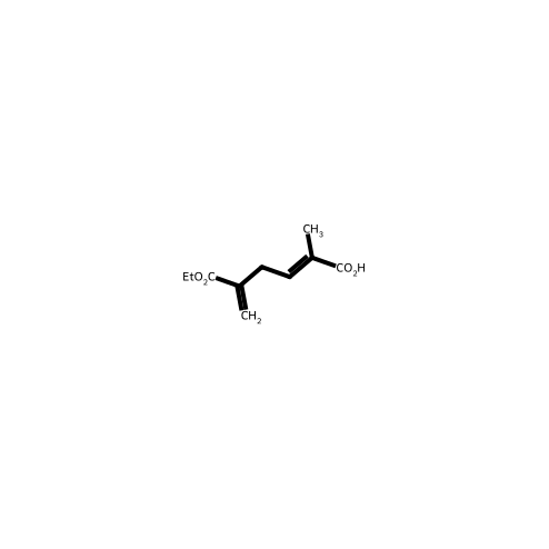 C=C(CC=C(C)C(=O)O)C(=O)OCC